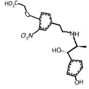 C[C@H](NCCc1ccc(OCC(=O)O)c([N+](=O)[O-])c1)[C@@H](O)c1ccc(O)cc1